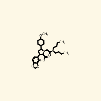 CCCCN(CCCC)C(=O)CN1C(C2CCC(OC)CC2)CC(c2ccc3c(c2)OCO3)C1C(=O)O